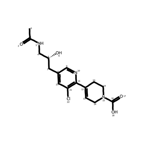 CC(=O)NC[C@H](O)Cc1cnc(C2=CCN(C(=O)O)CC2)c(Cl)c1